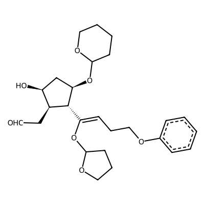 O=CC[C@@H]1[C@@H](C(=CCCOc2ccccc2)OC2CCCO2)[C@H](OC2CCCCO2)C[C@@H]1O